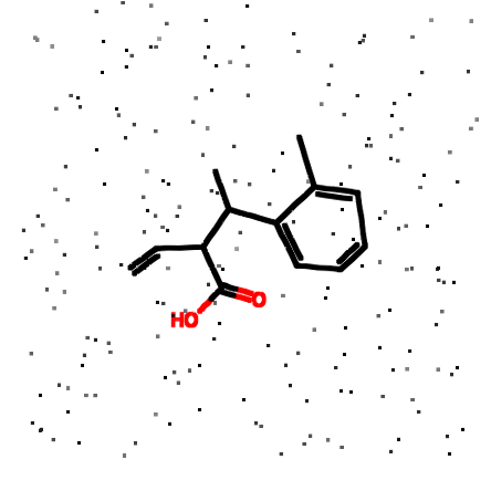 C=CC(C(=O)O)C(C)c1ccccc1C